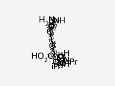 CC(C)NC(=O)c1cccc(OC(CCCOCCCCCOc2ccc(C(=N)N)cc2)C(=O)O)c1C(=O)NC(C)C